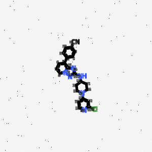 N#Cc1ccc(-c2cccn3nc(NC4CCN(c5ccnc(Cl)c5)CC4)nc23)cc1